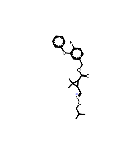 CC(C)CO/N=C/C1C(C(=O)OCc2ccc(F)c(Oc3ccccc3)c2)C1(C)C